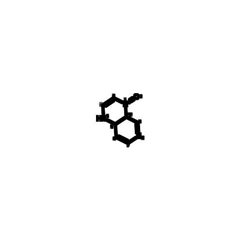 O=[N+]1C=CNC2C=CN=CC21